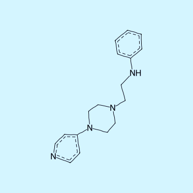 c1ccc(NCCN2CCN(c3ccncc3)CC2)cc1